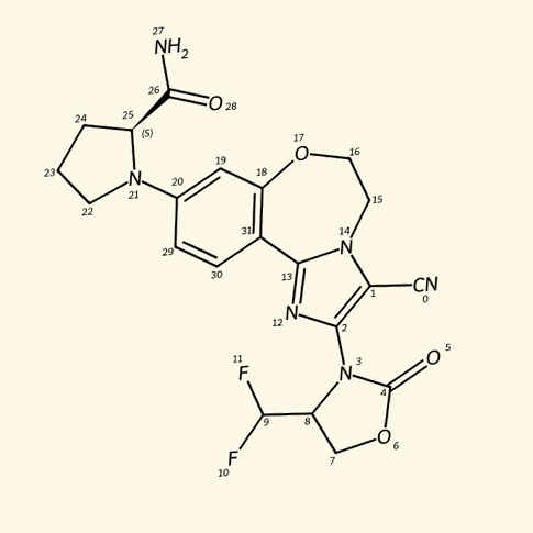 N#Cc1c(N2C(=O)OCC2C(F)F)nc2n1CCOc1cc(N3CCC[C@H]3C(N)=O)ccc1-2